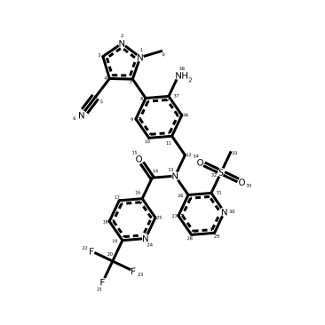 Cn1ncc(C#N)c1-c1ccc(CN(C(=O)c2ccc(C(F)(F)F)nc2)c2cccnc2S(C)(=O)=O)cc1N